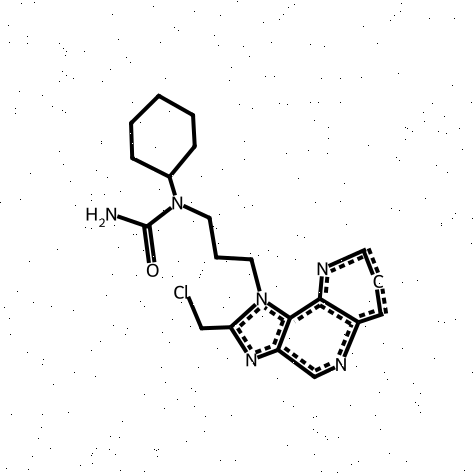 NC(=O)N(CCCn1c(CCl)nc2cnc3cccnc3c21)C1CCCCC1